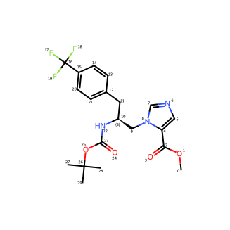 COC(=O)c1cncn1C[C@H](Cc1ccc(C(F)(F)F)cc1)NC(=O)OC(C)(C)C